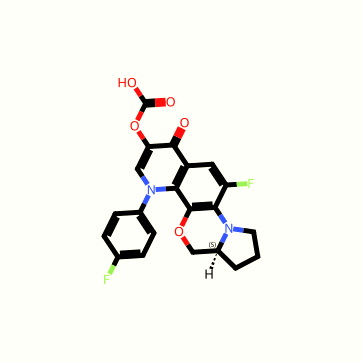 O=C(O)Oc1cn(-c2ccc(F)cc2)c2c3c(c(F)cc2c1=O)N1CCC[C@H]1CO3